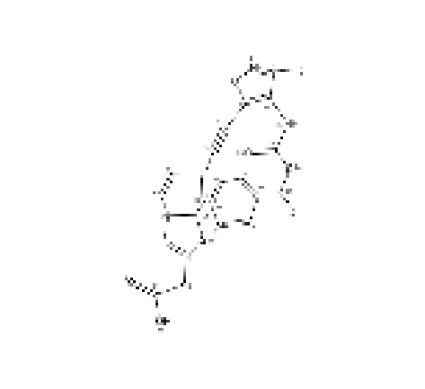 Cc1noc(C#Cc2ccc3cc(CC(=O)O)sc3c2)c1NC(=O)OC(C)c1ccccc1